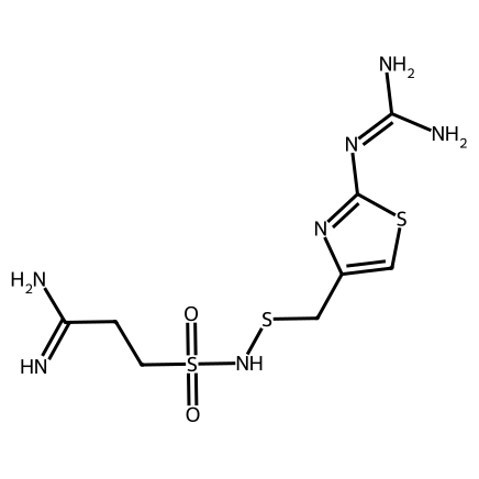 N=C(N)CCS(=O)(=O)NSCc1csc(N=C(N)N)n1